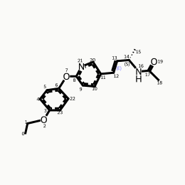 CCOc1ccc(Oc2ccc(/C=C/[C@H](C)NC(C)=O)cn2)cc1